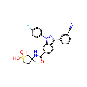 CC1(NC(=O)c2ccc3c(-c4cccc(C#N)c4)nn(-c4ccc(F)cc4)c3c2)CCS(O)(O)C1